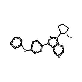 CCN1CCCC1n1nc(-c2ccc(Oc3ccccc3)cc2)c2cncnc21